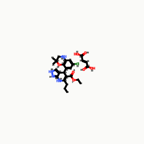 CCCC1=C(C(=O)OCC)C(c2cc(Cl)cc3c2OC(C)(C)CN3)c2c[nH]nc2N1.O=C(O)C=CC(=O)O